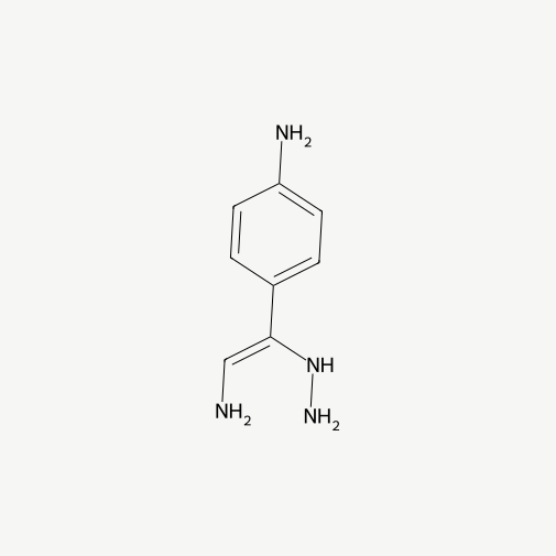 N/C=C(\NN)c1ccc(N)cc1